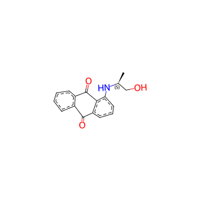 C[C@@H](CO)Nc1cccc2c1C(=O)c1ccccc1C2=O